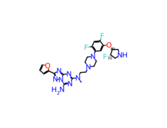 CN(CCN1CCN(c2cc(O[C@@H]3CNC[C@@H]3F)c(F)cc2F)CC1)c1nc(N)n2nc(-c3ccco3)nc2n1